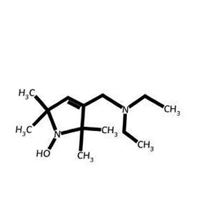 CCN(CC)CC1=CC(C)(C)N(O)C1(C)C